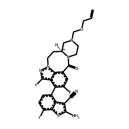 C=CCOCN1CCN2C(=O)c3cc(F)c(-c4ccc(F)c5sc(N)c(C#N)c45)c4c(F)nn(c34)CC[C@H]2C1